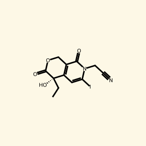 CC[C@@]1(O)C(=O)OCc2c1cc(I)n(CC#N)c2=O